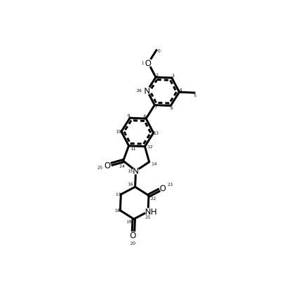 COc1cc(C)cc(-c2ccc3c(c2)CN(C2CCC(=O)NC2=O)C3=O)n1